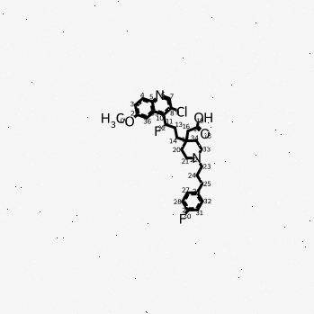 COc1ccc2ncc(Cl)c([C@@H](F)CCC3(CC(=O)O)CCN(CCCc4ccc(F)cc4)CC3)c2c1